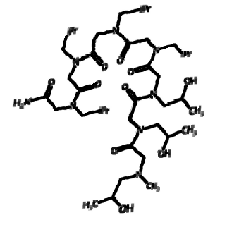 CC(C)CN(CC(N)=O)C(=O)CN(CC(C)C)C(=O)CN(CC(C)C)C(=O)CN(CC(C)C)C(=O)CN(CC(C)O)C(=O)CN(CC(C)O)C(=O)CN(C)CC(C)O